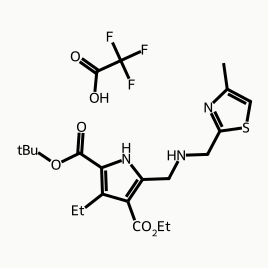 CCOC(=O)c1c(CNCc2nc(C)cs2)[nH]c(C(=O)OC(C)(C)C)c1CC.O=C(O)C(F)(F)F